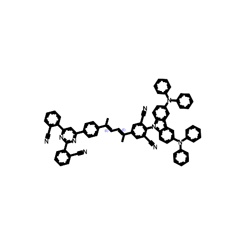 C/C(=C\C=C(/C)c1cc(C#N)c(-n2c3ccc(N(c4ccccc4)c4ccccc4)cc3c3cc(N(c4ccccc4)c4ccccc4)ccc32)c(C#N)c1)c1ccc(-c2cc(-c3ccccc3C#N)nc(-c3ccccc3C#N)n2)cc1